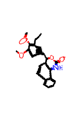 CCc1cc(C2OC(=O)Nc3c2ccc2ccccc32)cc(OC)c1OC